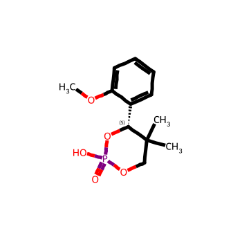 COc1ccccc1[C@H]1OP(=O)(O)OCC1(C)C